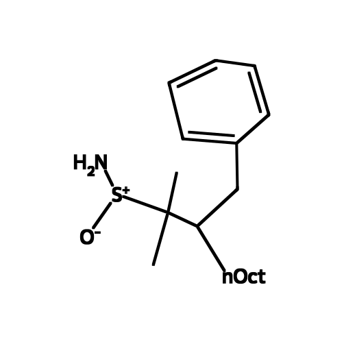 CCCCCCCCC(Cc1ccccc1)C(C)(C)[S+](N)[O-]